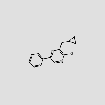 Clc1ncc(-c2cccnc2)nc1CC1CC1